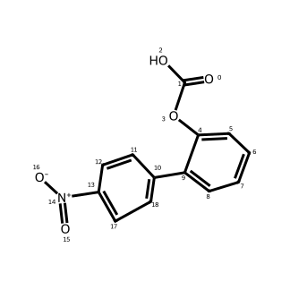 O=C(O)Oc1ccccc1-c1ccc([N+](=O)[O-])cc1